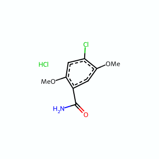 COc1cc(C(N)=O)c(OC)cc1Cl.Cl